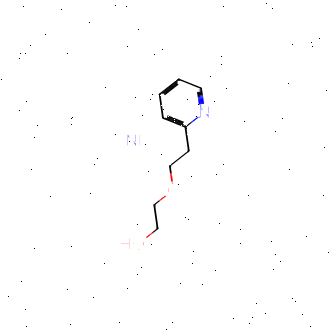 N.OCCOCCc1ccccn1